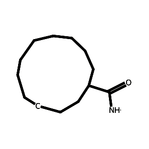 [NH]C(=O)C1CCCCCCCCCCC1